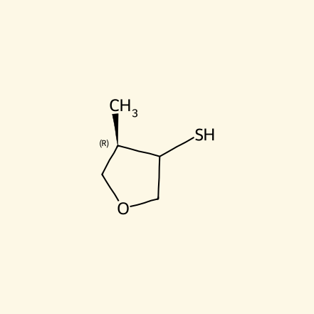 C[C@@H]1COCC1S